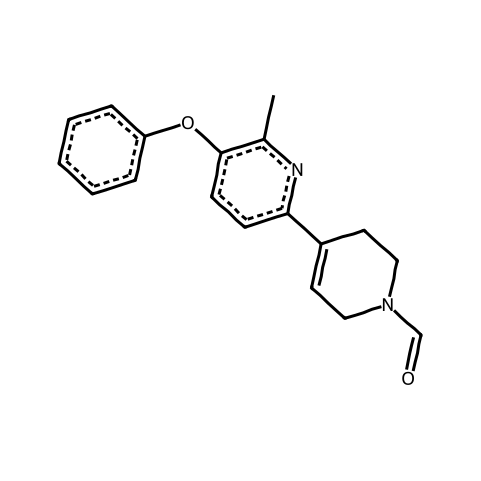 Cc1nc(C2=CCN(C=O)CC2)ccc1Oc1ccccc1